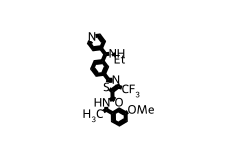 CCNC(c1ccncc1)c1cccc(-c2nc(C(F)(F)F)c(C(=O)NC(C)c3cccc(OC)c3)s2)c1